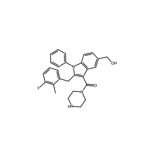 Cc1c(F)cccc1Cc1c(C(=O)N2CCNCC2)c2cc(CO)ccc2n1-c1ccccc1